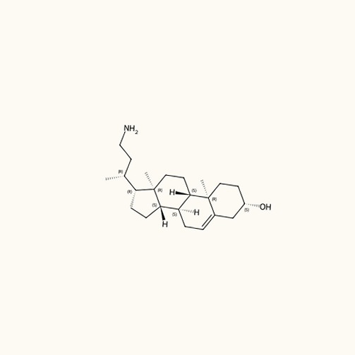 C[C@H](CCN)[C@H]1CC[C@H]2[C@@H]3CC=C4C[C@@H](O)CC[C@]4(C)[C@H]3CC[C@]12C